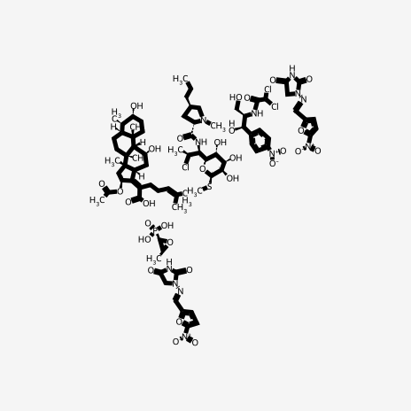 CC(=O)O[C@H]1C[C@@]2(C)[C@@H](C[C@@H](O)[C@H]3[C@@]4(C)CC[C@@H](O)[C@@H](C)[C@@H]4CC[C@@]32C)/C1=C(\CCC=C(C)C)C(=O)O.CCC[C@@H]1C[C@@H](C(=O)N[C@@H]([C@H]2O[C@H](SC)[C@H](O)[C@@H](O)[C@H]2O)[C@H](C)Cl)N(C)C1.C[C@@H]1O[C@@H]1P(=O)(O)O.O=C(N[C@H](CO)[C@H](O)c1ccc([N+](=O)[O-])cc1)C(Cl)Cl.O=C1CN(/N=C/c2ccc([N+](=O)[O-])o2)C(=O)N1.O=C1CN(/N=C/c2ccc([N+](=O)[O-])o2)C(=O)N1